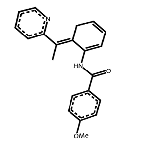 COc1ccc(C(=O)NC2=CC=CCC2=C(C)c2ccccn2)cc1